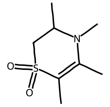 CC1=C(C)S(=O)(=O)CC(C)N1C